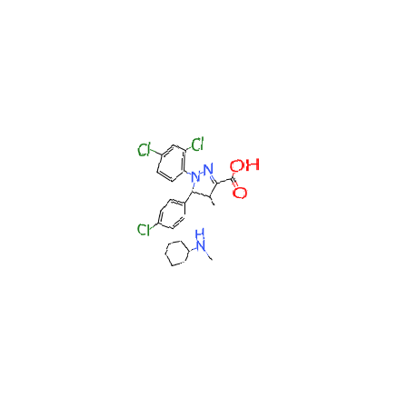 CC1C(C(=O)O)=NN(c2ccc(Cl)cc2Cl)C1c1ccc(Cl)cc1.CNC1CCCCC1